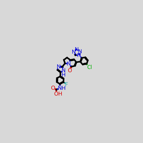 O=C(O)Nc1ccc(-c2cnc(C3CCc4cc(-c5cc(Cl)ccc5-n5cnnn5)cc(=O)n43)[nH]2)cc1F